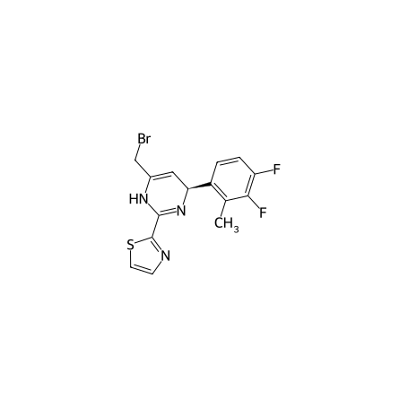 Cc1c([C@@H]2C=C(CBr)NC(c3nccs3)=N2)ccc(F)c1F